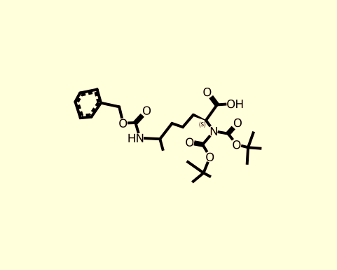 CC(CCC[C@@H](C(=O)O)N(C(=O)OC(C)(C)C)C(=O)OC(C)(C)C)NC(=O)OCc1ccccc1